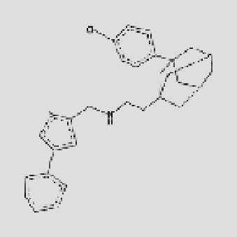 Clc1ccc(C23CC4CC(CC(CCNCc5cc(-c6ccccc6)cs5)(C4)C2)C3)cc1